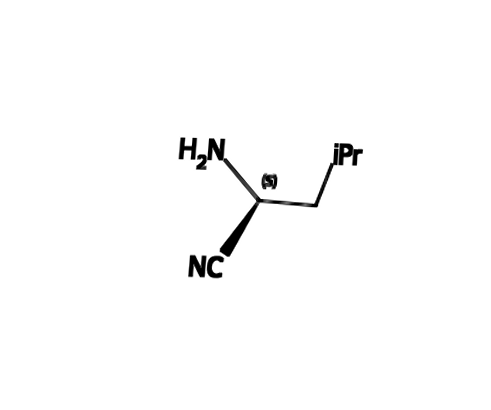 CC(C)C[C@H](N)C#N